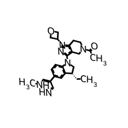 CC[C@H]1CN(c2nn(C3COC3)c3c2CN(C(C)=O)CC3)c2ccc(/C(C=N)=C/NC)cc21